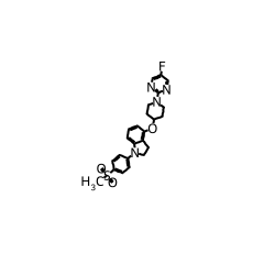 CS(=O)(=O)c1ccc(N2CCc3c(OC4CCN(c5ncc(F)cn5)CC4)cccc32)cc1